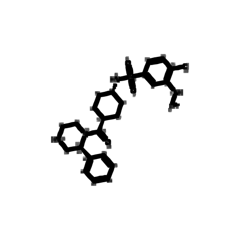 CCCNc1cc(S(=O)(=O)N[C@H]2CC[C@H](C(=O)N3CCNC[C@@H]3c3ccccc3)CC2)ccc1Cl